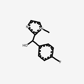 Cn1ccnc1C(O)c1ccc(F)cc1